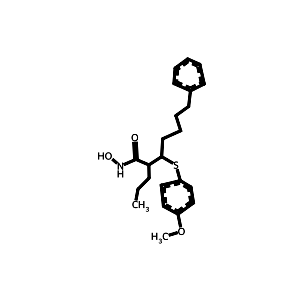 CCCC(C(=O)NO)C(CCCCc1ccccc1)Sc1ccc(OC)cc1